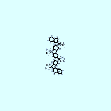 CC1(C)c2cc3c(cc2-c2cc4c(cc21)-c1c(ccc2c1=CCCC=2)C4(C)C)C(C)(C)c1cc2c(cc1-3)C(C)(C)c1ccc3ccccc3c1-2